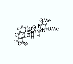 COc1cc(OC)nc(NC(=O)NS(=O)(=O)c2cccc(Cl)c2C=C2CCOC2=O)n1